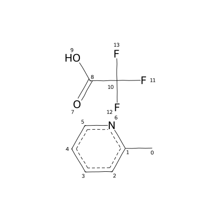 Cc1ccccn1.O=C(O)C(F)(F)F